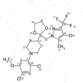 COc1cc(N2CCC(C3(Cn4nc(C(F)(F)F)c(Cl)c4C)OCCO3)CC2)c(Cl)cc1Cl